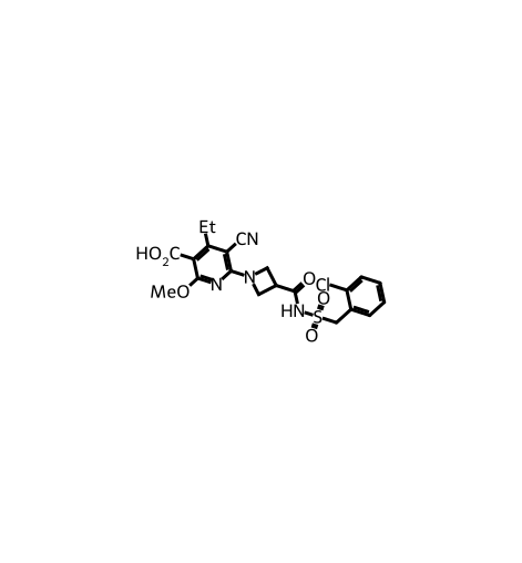 CCc1c(C#N)c(N2CC(C(=O)NS(=O)(=O)Cc3ccccc3Cl)C2)nc(OC)c1C(=O)O